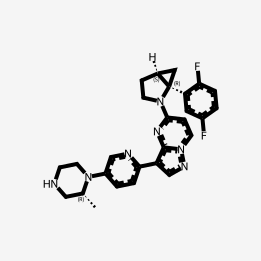 C[C@@H]1CNCCN1c1ccc(-c2cnn3ccc(N4CC[C@H]5C[C@]54c4cc(F)ccc4F)nc23)nc1